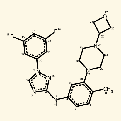 Cc1ccc(Nc2ncn(-c3cc(F)cc(F)c3)n2)cc1N1CCN(C2COC2)CC1